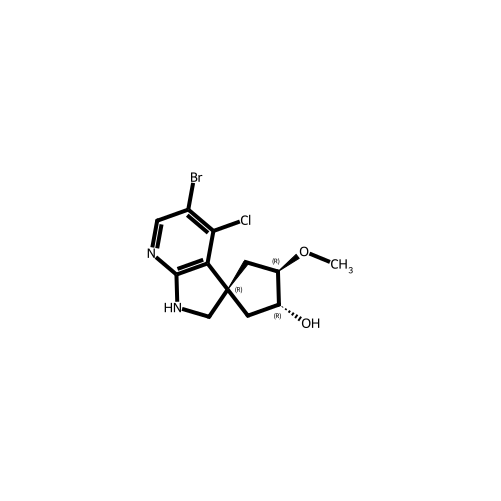 CO[C@@H]1C[C@]2(CNc3ncc(Br)c(Cl)c32)C[C@H]1O